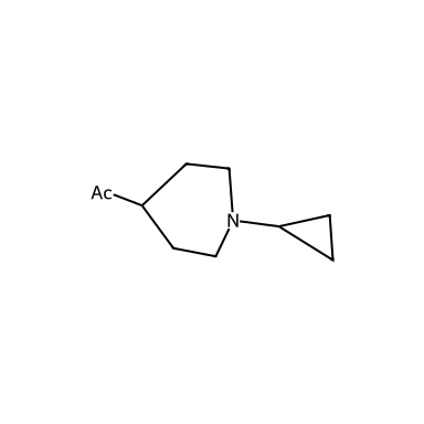 CC(=O)C1CCN(C2CC2)CC1